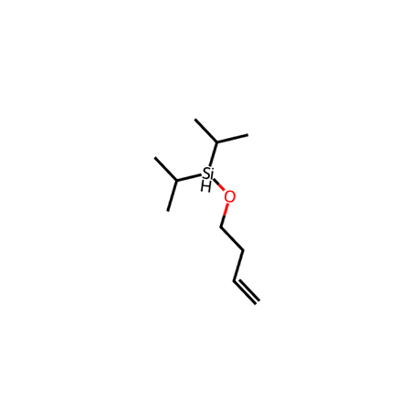 C=CCCO[SiH](C(C)C)C(C)C